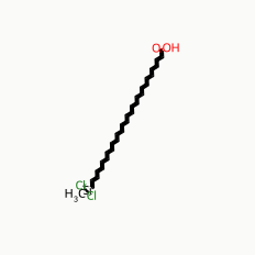 C[Si](Cl)(Cl)CCCCCCCCCCCCCCCCCCCCCCCCCCCCCC(=O)O